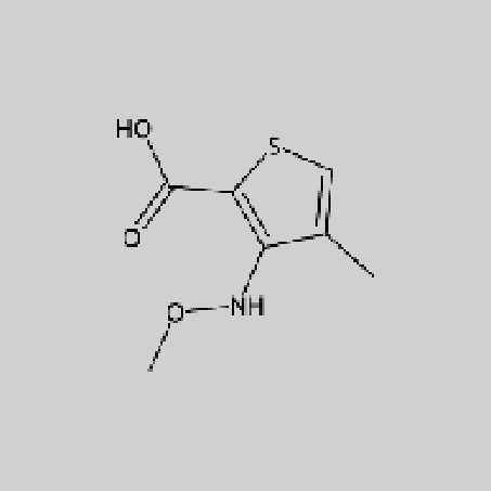 CONc1c(C)csc1C(=O)O